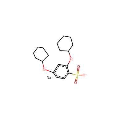 O=S(=O)([O-])c1ccc(OC2CCCCC2)cc1OC1CCCCC1.[Na+]